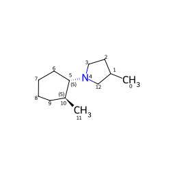 CC1CCN([C@H]2CCCC[C@@H]2C)C1